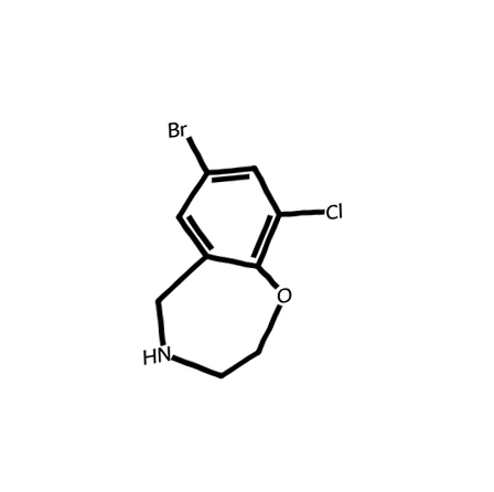 Clc1cc(Br)cc2c1OCCNC2